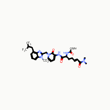 COC(=O)NC(CCC=CC(=O)N(C)C)C(=O)Nc1cccn(Cc2nc3c(CC(C(F)(F)F)C(F)(F)F)cccc3n2C(=O)O)c1=O